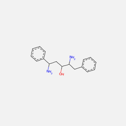 NC(CC(O)C(N)Cc1ccccc1)c1ccccc1